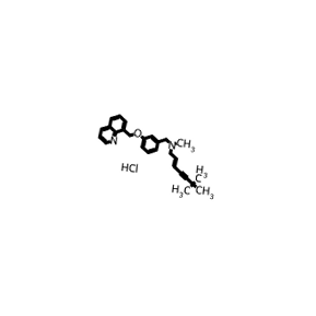 CN(CC=CC#CC(C)(C)C)Cc1cccc(OCc2cccc3cccnc23)c1.Cl